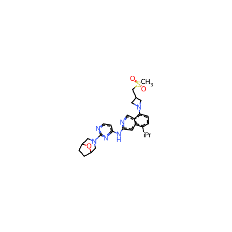 CC(C)c1ccc(N2CC(CS(C)(=O)=O)C2)c2cnc(Nc3ccnc(N4CC5CCC(C4)O5)n3)cc12